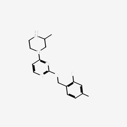 CC1CN(c2ccnc(OCc3ccc(Cl)cc3F)n2)CCN1